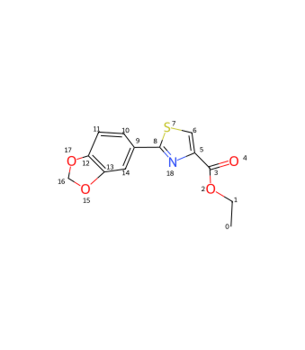 CCOC(=O)c1csc(-c2ccc3c(c2)OCO3)n1